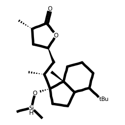 C[C@H](C[C@H]1C[C@H](C)C(=O)O1)[C@]1(O[SiH](C)C)CCC2C(C(C)(C)C)CCC[C@]21C